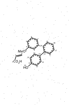 C=CC(=O)O.COc1ccccc1.Oc1ccc(-c2ccccc2)cc1